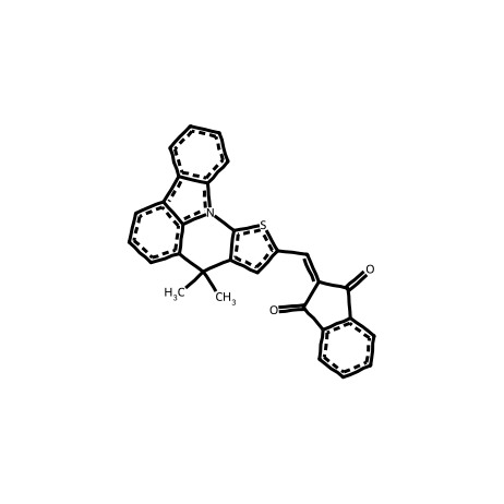 CC1(C)c2cc(C=C3C(=O)c4ccccc4C3=O)sc2-n2c3ccccc3c3cccc1c32